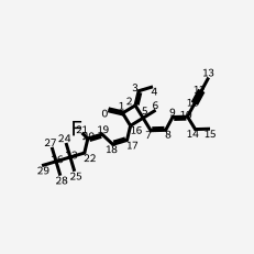 C=C1/C(=C/C)C(C)(/C=C\C=C(\C#CC)CC)C1/C=C\C=C(\F)CC(C)(C)C(C)(C)C